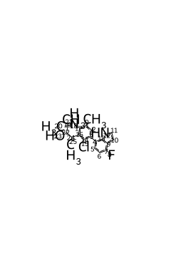 Cc1cc(-c2ccc(F)c3cc[nH]c23)c(Cl)c2c1NC(C)(C)C(O)C2C